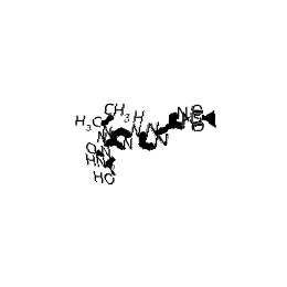 CCC(C)n1nc(N2C[C@@H](CO)NC2=O)c2cnc(Nc3ccnc(-c4cnn(S(=O)(=O)C5CC5)c4)n3)cc21